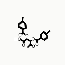 CC(=O)[C@H](OC(=O)c1ccc(C)cc1)[C@@H](OC(=O)c1ccc(C)cc1)C(=O)O